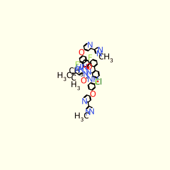 Cn1cc(-c2cc(Oc3ccc(NC(=O)N(c4cc(Cl)ccc4-c4ccccc4)N(C(=O)Nc4ccc(Oc5ccnc(-c6cnn(C)c6)c5)cc4F)c4cc(C(C)(C)C)nn4-c4ccc(F)cc4)c(F)c3)ccn2)cn1